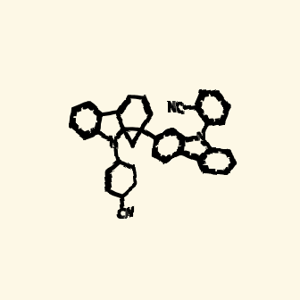 N#Cc1ccccc1-n1c2ccccc2c2ccc(C34C=CC=C5c6ccccc6N(C6C=CC(C#N)CC6)C53C4)cc21